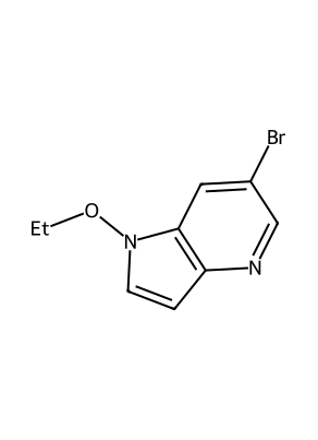 CCOn1ccc2ncc(Br)cc21